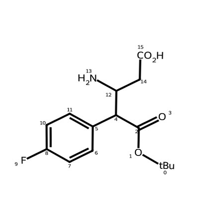 CC(C)(C)OC(=O)C(c1ccc(F)cc1)C(N)CC(=O)O